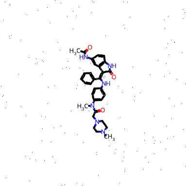 CC(=O)Nc1ccc2c(c1)/C(=C(/Nc1ccc(N(C)C(=O)CN3CCN(C)CC3)cc1)c1ccccc1)C(=O)N2